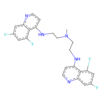 CN(CCNc1ccnc2cc(F)cc(F)c12)CCNc1ccnc2cc(F)cc(F)c12